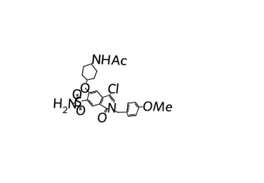 COc1ccc(Cn2cc(Cl)c3cc(OC4CCC(NC(C)=O)CC4)c(S(N)(=O)=O)cc3c2=O)cc1